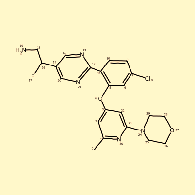 Cc1cc(Oc2cc(Cl)ccc2-c2ncc(C(F)CN)cn2)cc(N2CCOCC2)n1